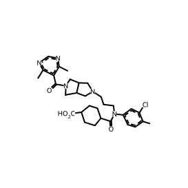 Cc1ccc(N(CCCN2CC3CN(C(=O)c4c(C)ncnc4C)CC3C2)C(=O)C2CCC(C(=O)O)CC2)cc1Cl